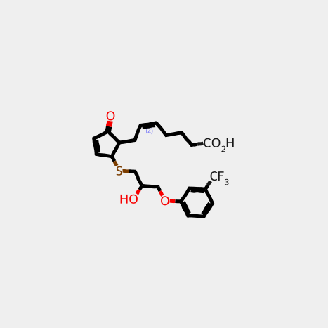 O=C(O)CCC/C=C\CC1C(=O)C=CC1SCC(O)COc1cccc(C(F)(F)F)c1